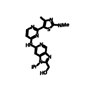 CNc1nc(C)c(-c2nccc(Nc3cc4c(cn3)nc(CO)n4C(C)C)n2)s1